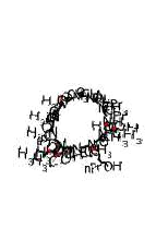 C/C=C/C[C@@H](C)[C@@H](O)[C@H]1C(=O)N[C@@H](CC)C(=O)N(C)[C@H](CSCC[C@H](CO)CCC)C(=O)N(C)[C@@H](CC(C)(C)O)C(=O)N[C@@H](C(C)C)C(=O)N(C)[C@@H](CC(C)C)C(=O)N[C@@H](C)C(=O)N[C@H](C)C(=O)N(C)[C@@H](CC(C)C)C(=O)N(C)[C@@H](CC(C)C)C(=O)N(C)[C@@H](C(C)C)C(=O)N1C